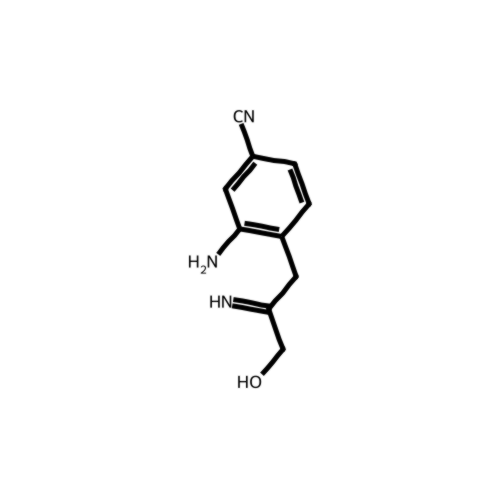 N#Cc1ccc(CC(=N)CO)c(N)c1